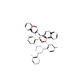 C/C=C(\C(=C/C(=N)c1ccccc1)c1ccccc1)c1cc(C(C)(C)C)ccc1C1CC(C2=C(Cl)C=CCC2)CC(c2ccc(C(C)(C)C)cc2-c2cn(Sc3ccccc3)cc2-c2ccccc2)C1